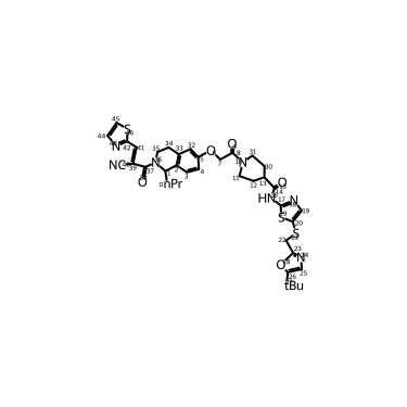 CCCC1c2ccc(OCC(=O)N3CCC(C(=O)Nc4ncc(SCc5ncc(C(C)(C)C)o5)s4)CC3)cc2CCN1C(=O)C(C#N)=Cc1nccs1